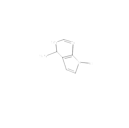 CCn1ccc2c1N=CNC2N